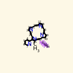 CC1=C(c2ccccn2)C2=NC1=CC1=NC(=CC3=NC(=CC4=NC(=C2)C=C4)C=C3)C=C1.I.I.I.I